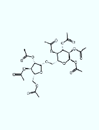 CC(=O)OC[C@H]1O[C@@H](OC[C@H]2O[C@H](OC(C)=O)[C@H](OC(C)=O)[C@@H](OC(C)=O)[C@@H]2OC(C)=O)[C@@H](OC(C)=O)[C@@H]1OC(C)=O